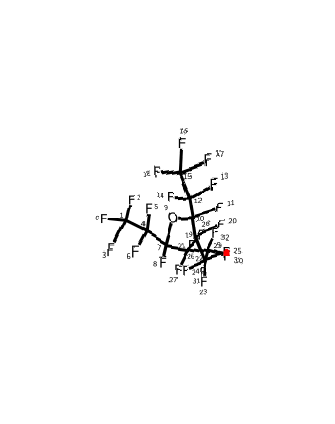 FC(F)(F)C(F)(F)C(F)(OC(F)(C(F)(F)C(F)(F)F)C(F)(F)C(F)(F)F)C(F)(F)C(F)(F)F